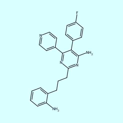 Nc1ccccc1CCCc1nc(N)c(-c2ccc(F)cc2)c(-c2ccncc2)n1